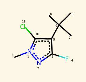 Cn1nc(F)c(C(C)(C)C)c1Cl